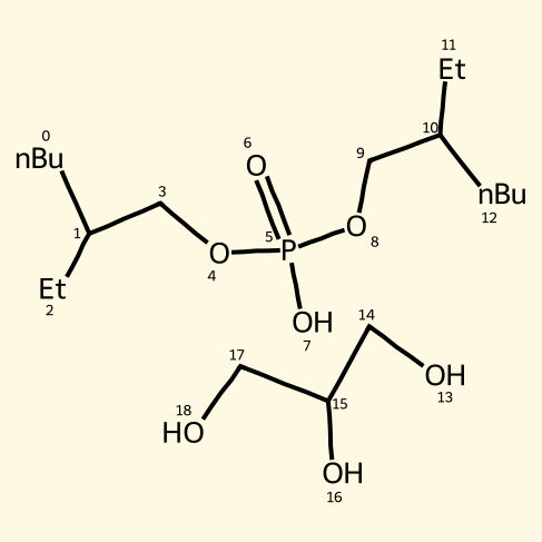 CCCCC(CC)COP(=O)(O)OCC(CC)CCCC.OCC(O)CO